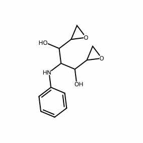 OC(C1CO1)C(Nc1ccccc1)C(O)C1CO1